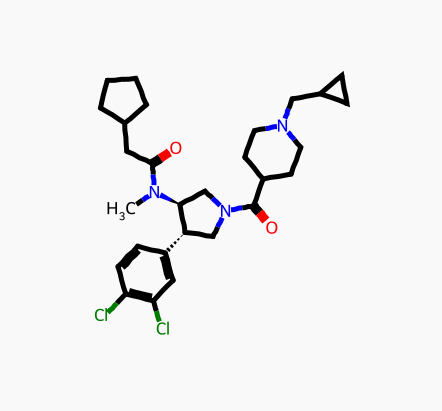 CN(C(=O)CC1CCCC1)[C@H]1CN(C(=O)C2CCN(CC3CC3)CC2)C[C@@H]1c1ccc(Cl)c(Cl)c1